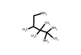 CC(CN)C(C)(C)C(C)(N)N